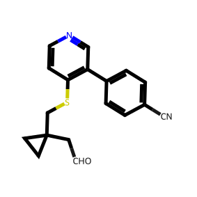 N#Cc1ccc(-c2cnccc2SCC2(CC=O)CC2)cc1